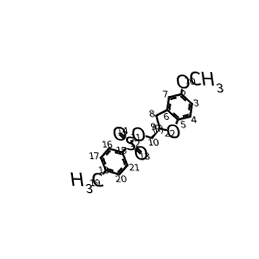 COc1ccc2c(c1)C[C@H](COS(=O)(=O)c1ccc(C)cc1)O2